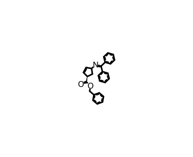 O=C(OCc1ccccc1)[C@H]1C=CC(N=C(c2ccccc2)c2ccccc2)C1